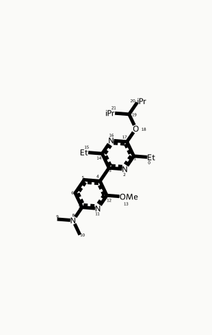 CCc1nc(-c2ccc(N(C)C)nc2OC)c(CC)nc1OC(C(C)C)C(C)C